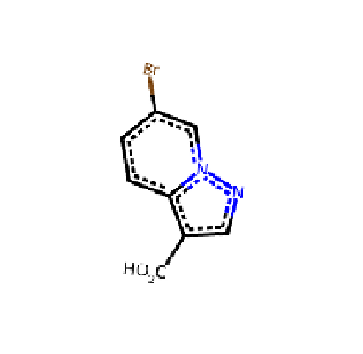 O=C(O)c1cnn2cc(Br)ccc12